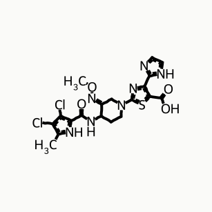 CON=C1CN(c2nc(-c3ncc[nH]3)c(C(=O)O)s2)CCC1NC(=O)c1[nH]c(C)c(Cl)c1Cl